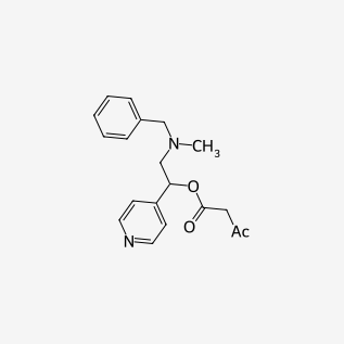 CC(=O)CC(=O)OC(CN(C)Cc1ccccc1)c1ccncc1